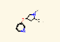 CC(C)N1CC(Oc2cccnc2)CC1C